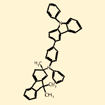 CC1(C)C2=C[C@@](C)(N(c3ccccc3)c3ccc(-c4ccc5c(c4)c4ccccc4n5-c4ccccc4)cc3)CC=C2c2ccccc21